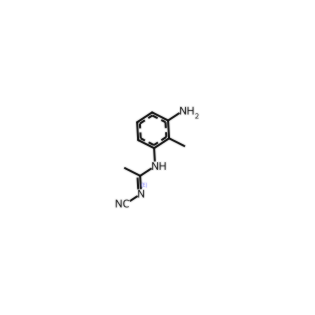 C/C(=N\C#N)Nc1cccc(N)c1C